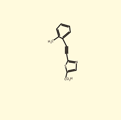 Cc1ccccc1C#Cc1ncc(C(=O)O)s1